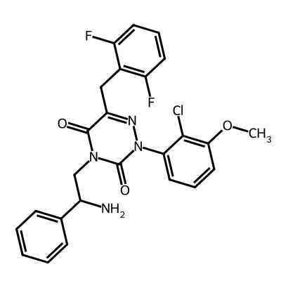 COc1cccc(-n2nc(Cc3c(F)cccc3F)c(=O)n(CC(N)c3ccccc3)c2=O)c1Cl